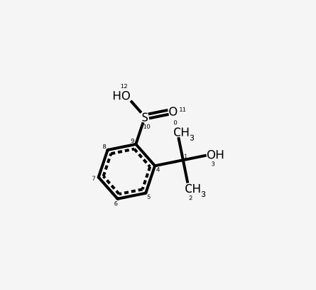 CC(C)(O)c1ccccc1S(=O)O